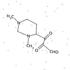 CN1CCC(C(=O)C(=O)C=O)N(C)C1